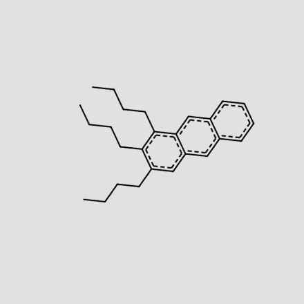 CCCCc1cc2cc3ccccc3cc2c(CCCC)c1CCCC